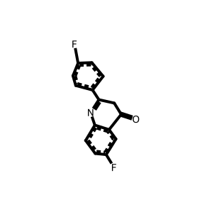 O=C1CC(c2ccc(F)cc2)=Nc2ccc(F)cc21